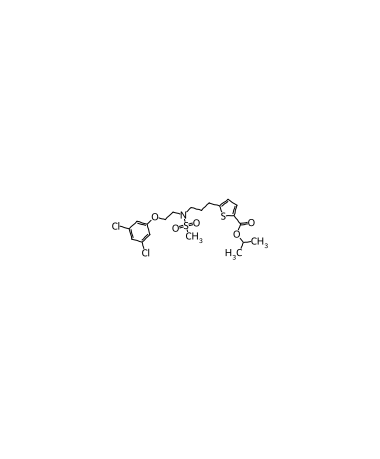 CC(C)OC(=O)c1ccc(CCCN(CCOc2cc(Cl)cc(Cl)c2)S(C)(=O)=O)s1